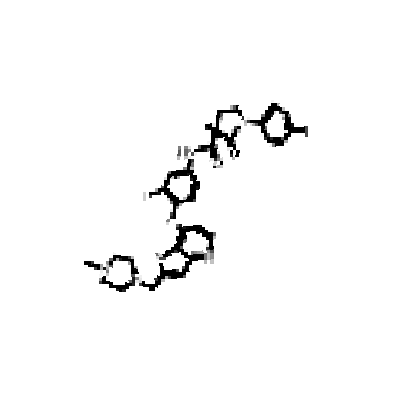 CN1CCN(Cc2cc3nccc(Oc4ccc(NC(=O)C5(C)CCN(c6ccc(F)cc6)C5=O)cc4F)c3s2)CC1